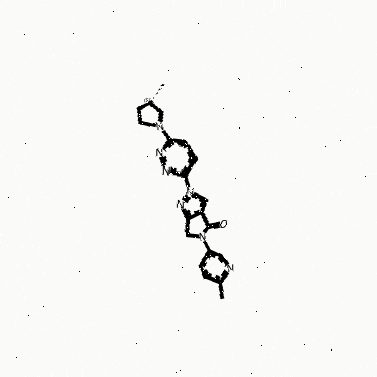 Cc1ccc(N2Cc3nn(-c4ccc(N5CC[C@H](C)C5)nn4)cc3C2=O)cn1